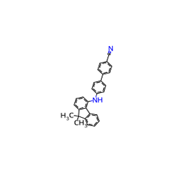 CC1(C)c2ccccc2-c2c(Nc3ccc(-c4ccc(C#N)cc4)cc3)cccc21